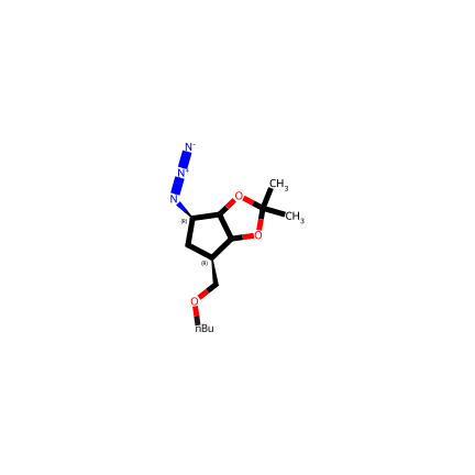 CCCCOC[C@H]1C[C@@H](N=[N+]=[N-])C2OC(C)(C)OC21